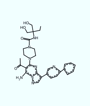 CCC(CO)(CO)NC(=O)N1CCN(c2nc3c(-c4ccc(-c5ccccc5)nc4)cnn3c(N)c2C(C)=O)CC1